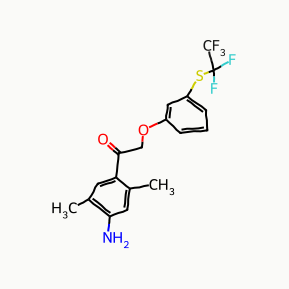 Cc1cc(C(=O)COc2cccc(SC(F)(F)C(F)(F)F)c2)c(C)cc1N